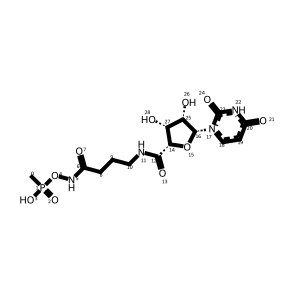 CP(=O)(O)ONC(=O)CCCNC(=O)[C@H]1O[C@@H](n2ccc(=O)[nH]c2=O)[C@@H](O)[C@H]1O